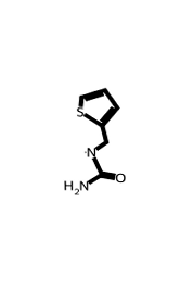 NC(=O)[N]Cc1cccs1